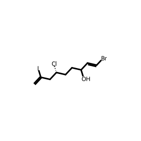 C=C(I)C[C@H](Cl)CCC(O)/C=C/Br